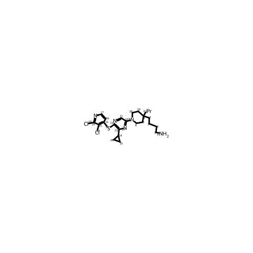 CC(C)C1(CCCCN)CCN(c2cnc(Sc3ccnc(Cl)c3Cl)c(C3CC3)n2)CC1